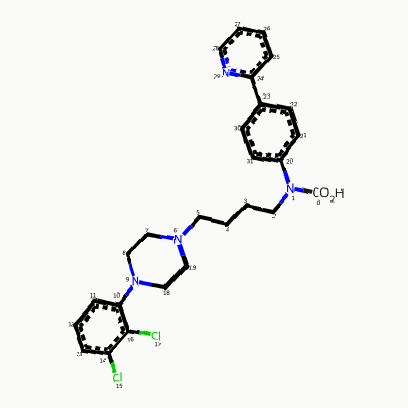 O=C(O)N(CCCCN1CCN(c2cccc(Cl)c2Cl)CC1)c1ccc(-c2ccccn2)cc1